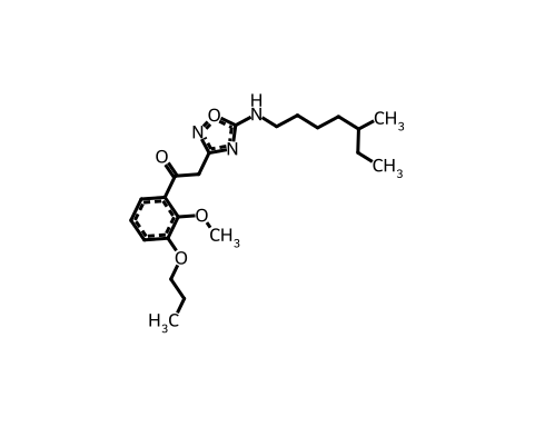 CCCOc1cccc(C(=O)Cc2noc(NCCCCC(C)CC)n2)c1OC